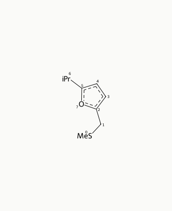 CSCc1ccc(C(C)C)o1